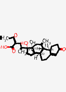 C=C1C[C@@]2(C)[C@@H](CC[C@@]2(O)C(=C)CC(C(C)=O)C(=O)O)[C@@H]2CCC3=CC(=O)CC[C@@H]3[C@@H]12